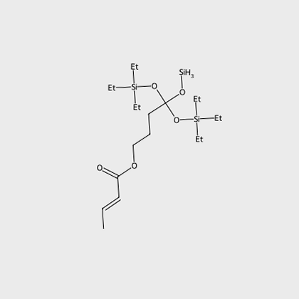 CC=CC(=O)OCCCC(O[SiH3])(O[Si](CC)(CC)CC)O[Si](CC)(CC)CC